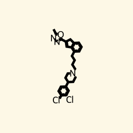 Cc1nnc(C2=Cc3c(CCCCN4CCC(c5ccc(Cl)c(Cl)c5)CC4)cccc3C2)o1